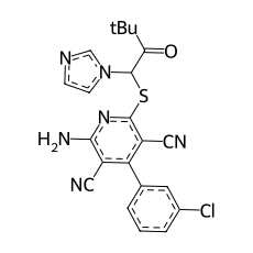 CC(C)(C)C(=O)C(Sc1nc(N)c(C#N)c(-c2cccc(Cl)c2)c1C#N)n1ccnc1